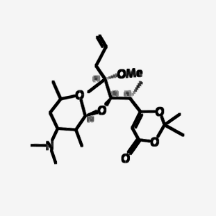 C=CC[C@@](C)(OC)[C@H](O[C@@H]1OC(C)CC(N(C)C)C1C)[C@H](C)C1=CC(=O)OC(C)(C)O1